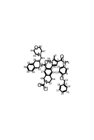 Cc1c(C(=O)N(C)c2ccc(OCc3ccccc3)cc2)cc(-c2cc3c(cc2C(=O)N2Cc4ccccc4C[C@H]2CN2CCOCC2)CN(C(=O)Cl)CC3)n1C